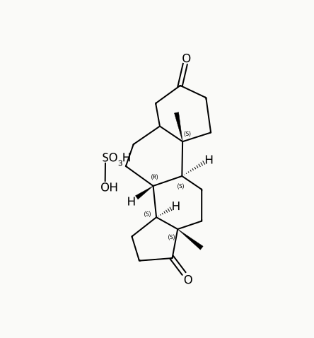 C[C@]12CCC(=O)CC1CC[C@@H]1[C@@H]2CC[C@]2(C)C(=O)CC[C@@H]12.O=S(=O)(O)O